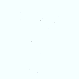 O=C(NCC1CCCCCC1)c1cn(CC2(O)COC2)c2cccc(O)c12